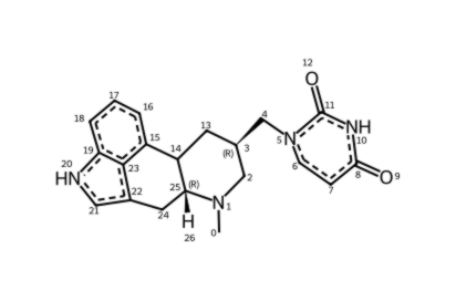 CN1C[C@H](Cn2ccc(=O)[nH]c2=O)CC2c3cccc4[nH]cc(c34)C[C@H]21